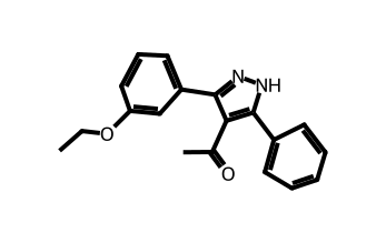 CCOc1cccc(-c2n[nH]c(-c3ccccc3)c2C(C)=O)c1